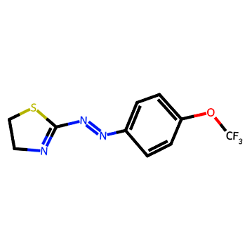 FC(F)(F)Oc1ccc(N=NC2=NCCS2)cc1